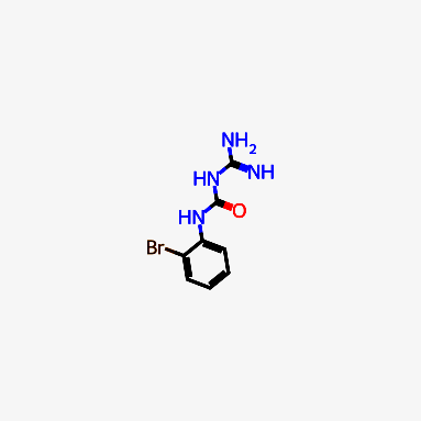 N=C(N)NC(=O)Nc1ccccc1Br